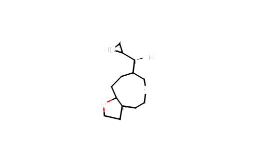 C[C@H](C1BC1)C1CCCCC2CCOC2CC1